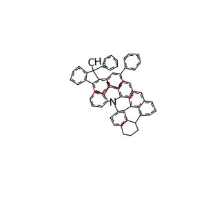 CC1(c2ccccc2)c2ccccc2-c2ccc(-c3ccccc3N(c3ccccc3-c3ccc(-c4ccccc4)cc3)c3ccccc3-c3cccc4cccc(C5CCCCC5)c34)cc21